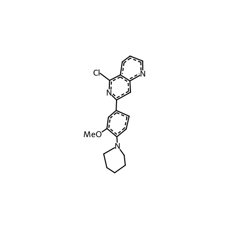 COc1cc(-c2cc3ncccc3c(Cl)n2)ccc1N1CCCCC1